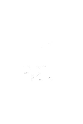 O=C([C@H]1CC[C@H](OC2CC2(F)F)CC1)N1Cc2cccnc2Nc2ccc(N3CCOCC3)cc21